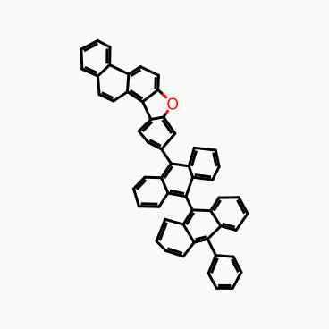 c1ccc(-c2c3ccccc3c(-c3c4ccccc4c(-c4ccc5c(c4)oc4ccc6c7ccccc7ccc6c45)c4ccccc34)c3ccccc23)cc1